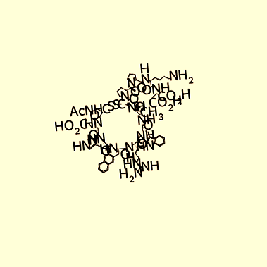 CC(=O)N[C@H]1CSSC[C@@H](C(=O)N2CCC[C@H]2C(=O)N2CCC[C@H]2C(=O)N[C@@H](CCCCN)C(=O)N[C@@H](CC(=O)O)C(=O)O)NC(=O)[C@H](C)NC(=O)[C@H](Cc2c[nH]c3ccccc23)NC(=O)[C@H](CCCNC(=N)N)NC(=O)[C@@H](Cc2ccc3ccccc3c2)NC(=O)[C@H](Cc2c[nH]cn2)NC(=O)[C@H](CCC(=O)O)NC1=O